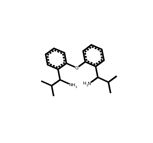 CC(C)C(N)c1ccccc1Oc1ccccc1C(N)C(C)C